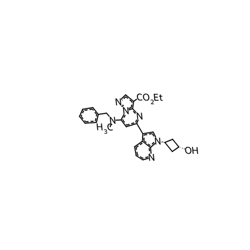 CCOC(=O)c1cnn2c(N(C)Cc3ccccc3)cc(-c3cn([C@H]4C[C@@H](O)C4)c4ncccc34)nc12